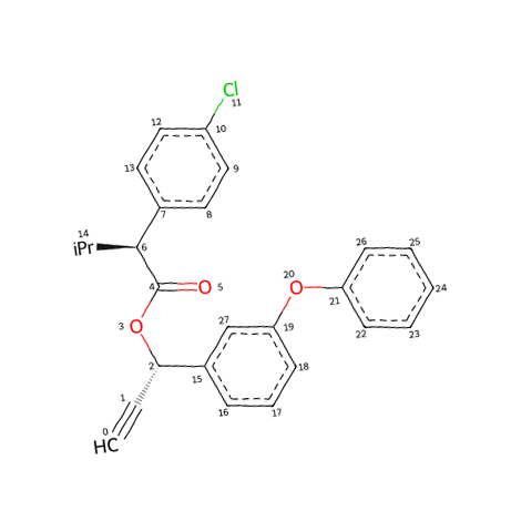 C#C[C@H](OC(=O)[C@H](c1ccc(Cl)cc1)C(C)C)c1cccc(Oc2ccccc2)c1